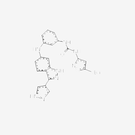 CC(C)(C)c1cc(NC(=O)Nc2cccc(Nc3ccc4c(-c5cn[nH]c5)n[nH]c4c3)c2)no1